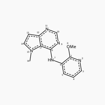 COc1ncccc1Nc1ncnc2ccn(C)c12